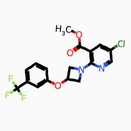 COC(=O)c1cc(Cl)cnc1N1CC(Oc2cccc(C(F)(F)F)c2)C1